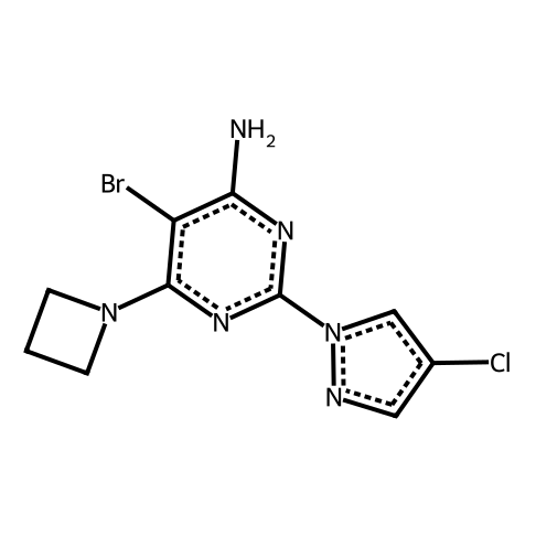 Nc1nc(-n2cc(Cl)cn2)nc(N2CCC2)c1Br